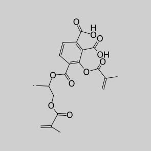 [CH2]C(COC(=O)C(=C)C)OC(=O)c1ccc(C(=O)O)c(C(=O)O)c1OC(=O)C(=C)C